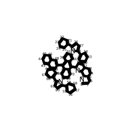 C1=CC2C=Cc3cccnc3C2N=C1c1c2cc(-n3c(-c4ccccc4)ccc3-c3ccccc3)ccc2c(-c2ccc3ccccc3c2)c2cc(-n3c(-c4ccccc4)ccc3-c3ccccc3)ccc12